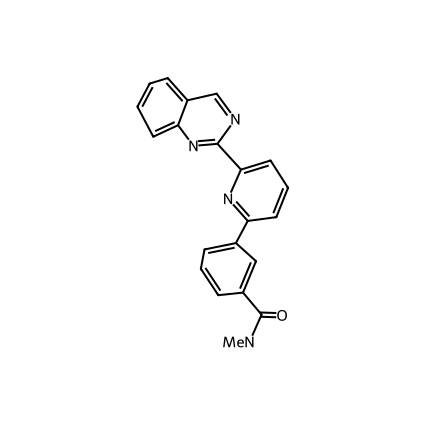 CNC(=O)c1cccc(-c2cccc(-c3ncc4ccccc4n3)n2)c1